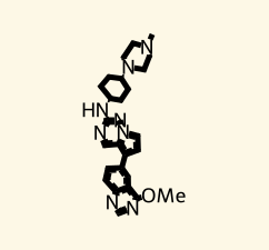 COc1ncnc2ccc(-c3ccn4nc(N[C@H]5CC[C@@H](N6CCN(C)CC6)CC5)ncc34)cc12